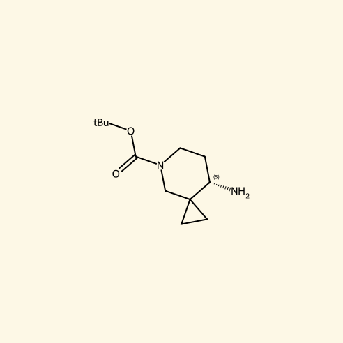 CC(C)(C)OC(=O)N1CC[C@H](N)C2(CC2)C1